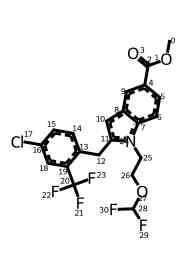 COC(=O)c1ccc2c(c1)cc(Cc1ccc(Cl)cc1C(F)(F)F)n2CCOC(F)F